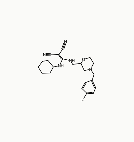 N#CC(C#N)=C(NCC1CN(Cc2ccc(F)cc2)CCO1)NC1CCCCC1